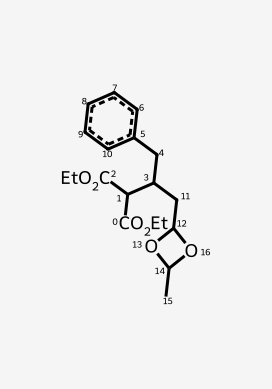 CCOC(=O)C(C(=O)OCC)C(Cc1ccccc1)CC1OC(C)O1